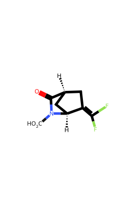 O=C(O)N1C(=O)[C@H]2CC(=C(F)F)[C@@H]1C2